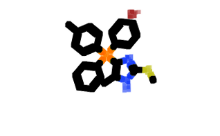 CSc1nc([P+](c2ccccc2)(c2ccccc2)c2ccc(C)cc2)c(C)[nH]1.[Br-]